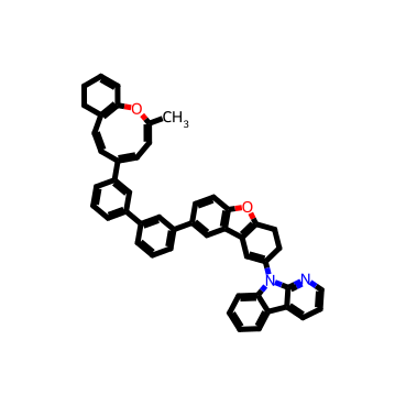 Cc1ccc(-c2cccc(-c3cccc(-c4ccc5oc6c(c5c4)C=C(n4c5ccccc5c5cccnc54)CC6)c3)c2)ccc2c(o1)C=CCC2